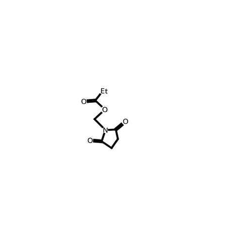 CCC(=O)OCN1C(=O)CCC1=O